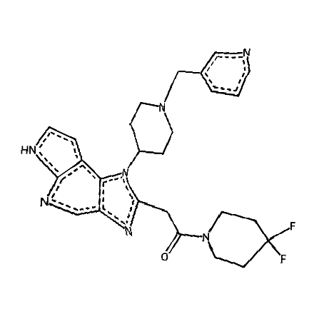 O=C(Cc1nc2cnc3[nH]ccc3c2n1C1CCN(Cc2cccnc2)CC1)N1CCC(F)(F)CC1